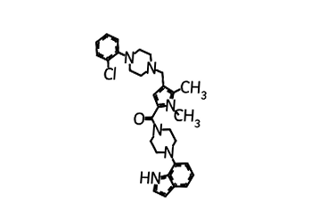 Cc1c(CN2CCN(c3ccccc3Cl)CC2)cc(C(=O)N2CCN(c3cccc4cc[nH]c34)CC2)n1C